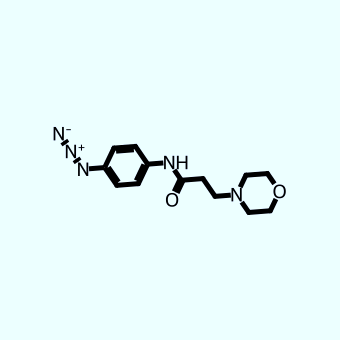 [N-]=[N+]=Nc1ccc(NC(=O)CCN2CCOCC2)cc1